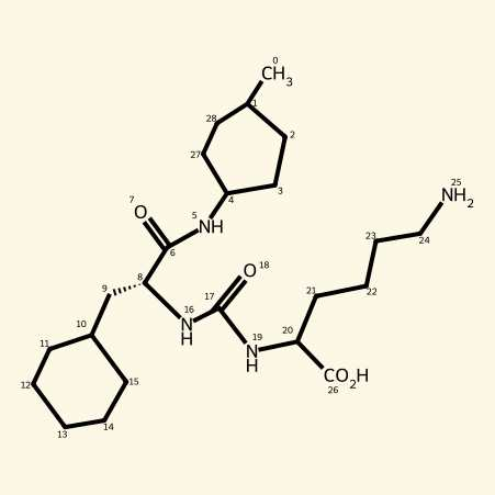 CC1CCC(NC(=O)[C@@H](CC2CCCCC2)NC(=O)NC(CCCCN)C(=O)O)CC1